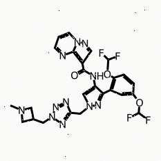 CN1CC(Cn2nnc(Cn3cc(NC(=O)c4cnn5cccnc45)c(-c4cc(OC(F)F)ccc4OC(F)F)n3)n2)C1